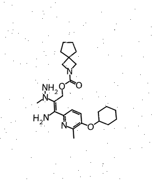 Cc1nc(/C(N)=C(\COC(=O)N2CC3(CCCC3)C2)N(C)N)ccc1OC1CCCCC1